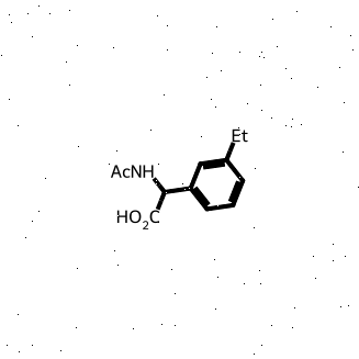 CCc1cccc(C(NC(C)=O)C(=O)O)c1